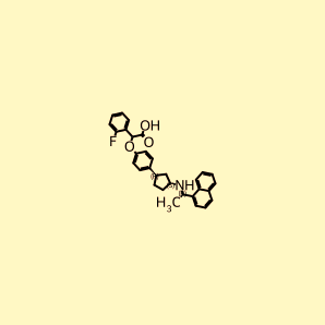 C[C@@H](N[C@H]1CC[C@@H](c2ccc(OC(C(=O)O)c3ccccc3F)cc2)C1)c1cccc2ccccc12